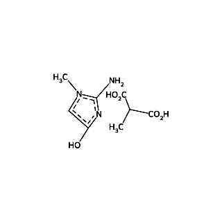 CC(C(=O)O)C(=O)O.Cn1cc(O)nc1N